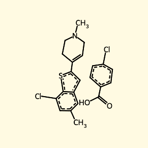 Cc1cc(Cl)c2sc(C3=CCN(C)CC3)cc2c1.O=C(O)c1ccc(Cl)cc1